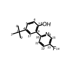 CC(C)(C)c1ccc(O)c(-c2ccc(F)cn2)c1